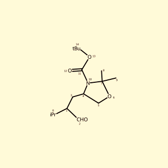 CC(C)C(C=O)CC1COC(C)(C)N1C(=O)OC(C)(C)C